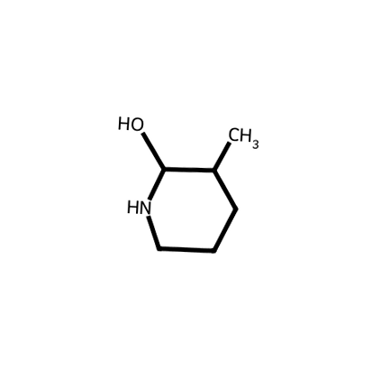 CC1CCCNC1O